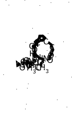 CCCC[C@@H]1NC(=O)OCCCCCCc2cccc3c2CN(C3)C(=O)O[C@@H]2C[C@@H](C(=O)N[C@]3(C(=O)NS(=O)(=O)C4CC4)C[C@H]3CC)N(C2)C1=O